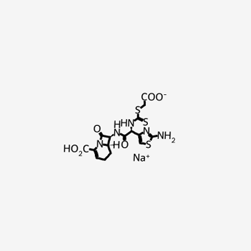 Nc1nc([C@H](NC(=S)SCC(=O)[O-])C(=O)N[C@@H]2C(=O)N3C(C(=O)O)=CCC[C@H]23)cs1.[Na+]